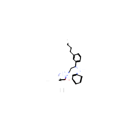 CCCCc1cccc(C(CCNC(=O)C(C)(C)C)Nc2ccccc2)c1